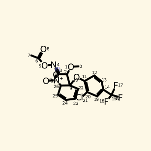 COC(/C=N/OC(C)=O)C1(Oc2ccc(C(F)(F)F)cc2Cl)C=CC=CC1[N+](=O)[O-]